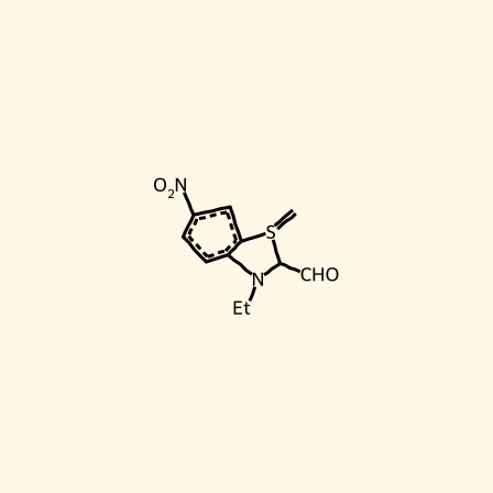 C=S1c2cc([N+](=O)[O-])ccc2N(CC)C1C=O